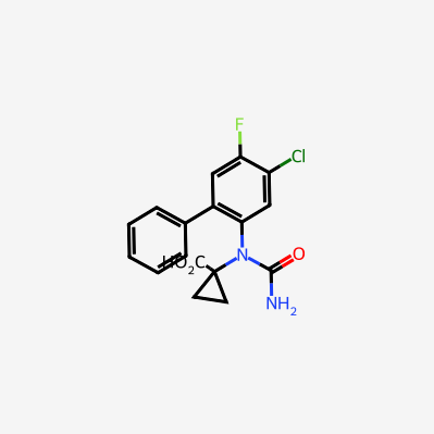 NC(=O)N(c1cc(Cl)c(F)cc1-c1ccccc1)C1(C(=O)O)CC1